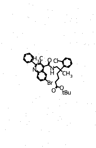 Cc1c(-c2ccccc2)nc2ccc(Br)cc2c1C(=O)NCC(C)(CCCC(=O)OC(C)(C)C)c1ccccc1Cl